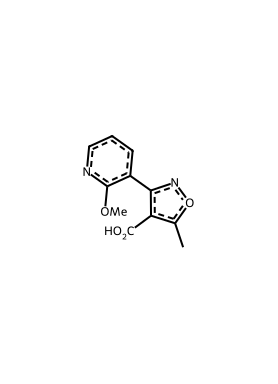 COc1ncccc1-c1noc(C)c1C(=O)O